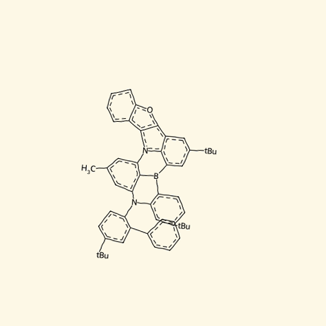 Cc1cc2c3c(c1)-n1c4c(cc(C(C)(C)C)cc4c4oc5ccccc5c41)B3c1ccc(C(C)(C)C)cc1N2c1ccc(C(C)(C)C)cc1-c1ccccc1